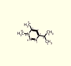 CC1=C=C(C(C)C)N=NN1C